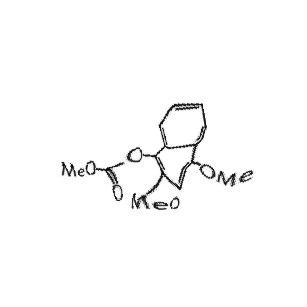 COC(=O)Oc1c(OC)cc(OC)c2ccccc12